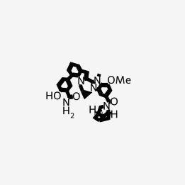 COc1cc(C(=O)N2C[C@H]3CC4C[C@@H]2[C@@]43C)cc2nc(-c3cc4cccc(-c5ccc(O)c(C(N)=O)c5)c4n3CC3CC3)n(C)c12